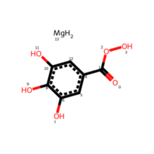 O=C(OO)c1cc(O)c(O)c(O)c1.[MgH2]